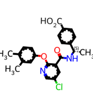 Cc1ccc(Oc2ncc(Cl)cc2C(=O)N[C@@H](C)c2ccc(C(=O)O)cc2)cc1C